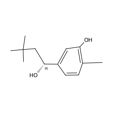 Cc1ccc([C@H](O)CC(C)(C)C)cc1O